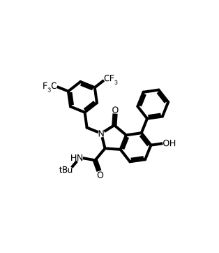 CC(C)(C)NC(=O)C1c2ccc(O)c(-c3ccccc3)c2C(=O)N1Cc1cc(C(F)(F)F)cc(C(F)(F)F)c1